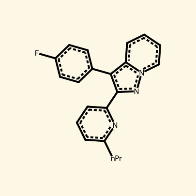 CCCc1cccc(-c2nn3ccccc3c2-c2ccc(F)cc2)n1